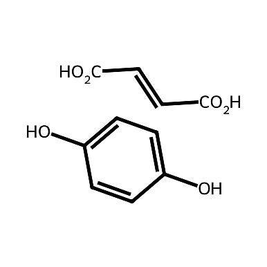 O=C(O)/C=C/C(=O)O.Oc1ccc(O)cc1